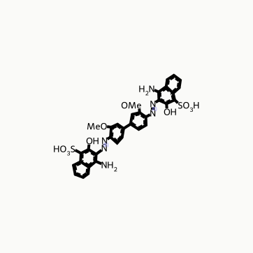 COc1cc(-c2ccc(/N=N/c3c(O)c(S(=O)(=O)O)c4ccccc4c3N)c(OC)c2)ccc1/N=N/c1c(O)c(S(=O)(=O)O)c2ccccc2c1N